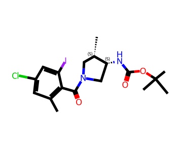 Cc1cc(Cl)cc(I)c1C(=O)N1C[C@H](C)[C@H](NC(=O)OC(C)(C)C)C1